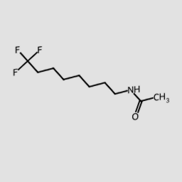 CC(=O)NCCCCCCCC(F)(F)F